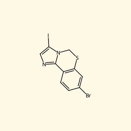 Brc1ccc2c(c1)SCn1c(I)cnc1-2